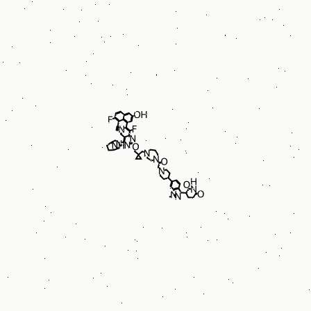 C#Cc1c(F)ccc2cc(O)cc(-c3ncc4c(N5CC6CCC(C5)N6)nc(OCC5(CN6CCCN(C(=O)CN7CCC(c8ccc9c(C%10CCC(=O)NC%10=O)nn(C)c9c8)CC7)CC6)CC5)nc4c3F)c12